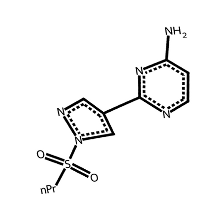 CCCS(=O)(=O)n1cc(-c2nccc(N)n2)cn1